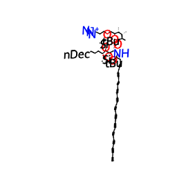 C#CC#CC#CC#CC#CC#CC#CC#CC#CC#CC#CC#CCC(=O)N[C@@H](CO[C@H]1OC(COCCCN=[N+]=[N-])[C@H](C)[C@H](C)C1C)[C@H](O[Si](C)(C)C(C)(C)C)[C@@H](CCCCCCCCCCCCCC)O[Si](C)(C)C(C)(C)C